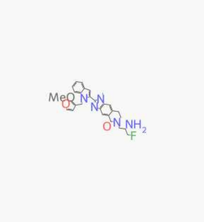 COc1cccc2cc(-c3nc4cc5c(cc4n3C)CCN(C[C@H](N)CF)C5=O)n(Cc3ccoc3)c12